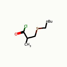 CCCCCSCC(C)C(=O)Cl